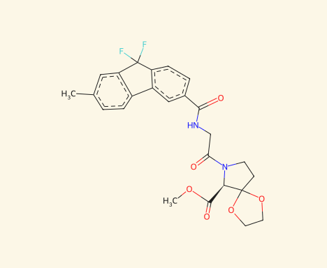 COC(=O)[C@H]1N(C(=O)CNC(=O)c2ccc3c(c2)-c2ccc(C)cc2C3(F)F)CCC12OCCO2